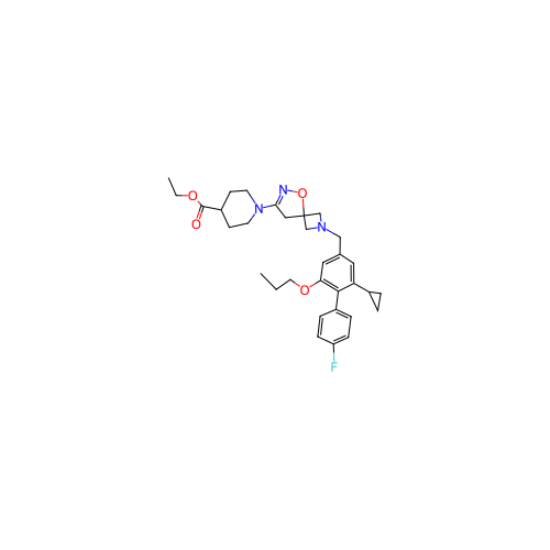 CCCOc1cc(CN2CC3(CC(N4CCC(C(=O)OCC)CC4)=NO3)C2)cc(C2CC2)c1-c1ccc(F)cc1